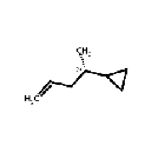 C=CC[C@H](C)C1CC1